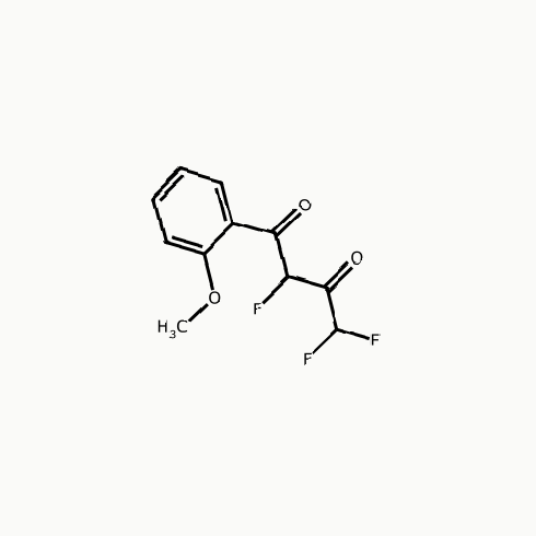 COc1ccccc1C(=O)C(F)C(=O)C(F)F